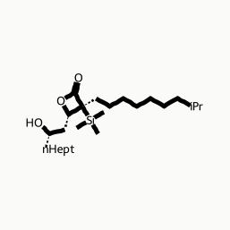 CCCCCCC[C@H](O)C[C@@H]1OC(=O)[C@@]1(CCCCCCCC(C)C)[Si](C)(C)C